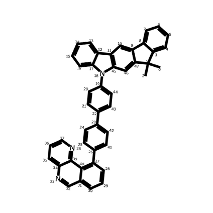 CC1(C)c2ccccc2-c2cc3c4ccccc4n(-c4ccc(-c5ccc(-c6cccc7cnc8cccnc8c67)cc5)cc4)c3cc21